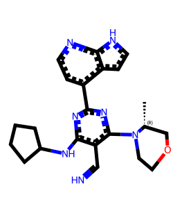 C[C@@H]1COCCN1c1nc(-c2ccnc3[nH]ccc23)nc(NC2CCCC2)c1C=N